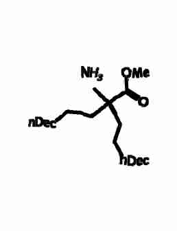 CCCCCCCCCCCCC(C)(CCCCCCCCCCCC)C(=O)OC.N